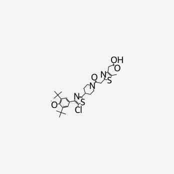 COc1c(C(C)(C)C)cc(-c2nc(C3CCN(C(=O)Cc4nc(CC(=O)O)c(C)s4)CC3)sc2Cl)cc1C(C)(C)C